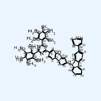 Bc1c(B)c(B)c(-c2nc(-c3ccc4c(c3)oc3cc(-n5c6ccccc6c6ccc(-c7ccccc7)cc65)ccc34)nc(-c3c(B)c(B)c(B)c(B)c3B)n2)c(B)c1B